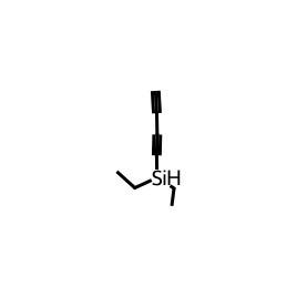 C#CC#C[SiH](CC)CC